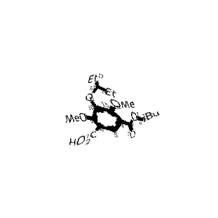 CCC(C)OC(=O)c1cc(C(=O)O)c(OC)c(OC(CC)CC)c1OC